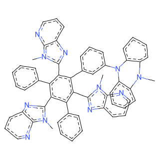 CN1c2ccccc2N(c2cccc(-c3c(-c4nc5cccnc5n4C)c(-c4ccccc4)c(-c4nc5cccnc5n4C)c(-c4ccccc4)c3-c3nc4cccnc4n3C)c2)c2ccccc21